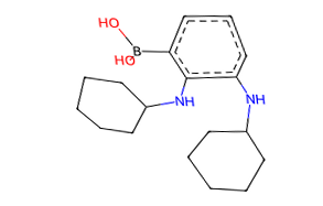 OB(O)c1cccc(NC2CCCCC2)c1NC1CCCCC1